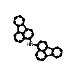 c1ccc2c(c1)-c1cccc3c(Nc4ccc5c6c(cccc46)-c4ccccc4-5)ccc-2c13